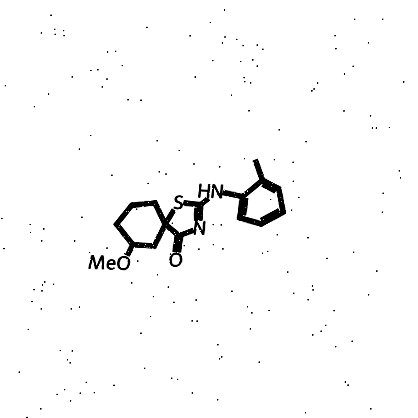 COC1CCCC2(C1)SC(Nc1ccccc1C)=NC2=O